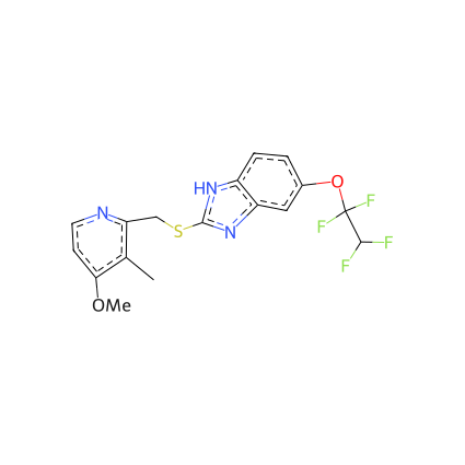 COc1ccnc(CSc2nc3cc(OC(F)(F)C(F)F)ccc3[nH]2)c1C